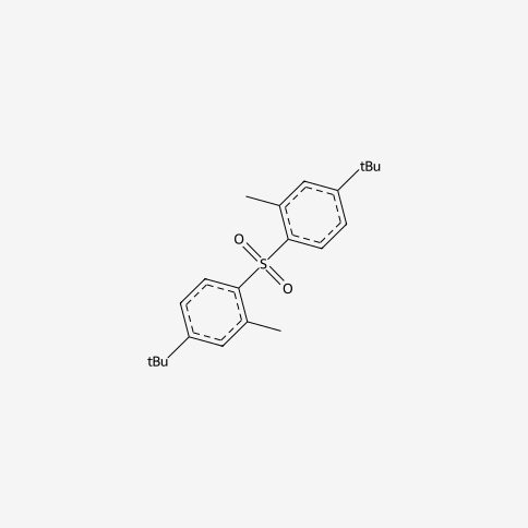 Cc1cc(C(C)(C)C)ccc1S(=O)(=O)c1ccc(C(C)(C)C)cc1C